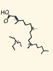 C/C(=C\C(=O)O)CCC[C@H](C)CCC[C@H](C)CCCC(C)C.CCN(CC)CC